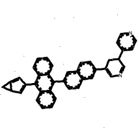 C1=NC=C(c2ccc3cc(-c4c5ccccc5c(C5=CC6CC6=C5)c5ccccc45)ccc3c2)CC1c1ccncc1